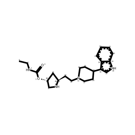 CCNC(=O)O[C@H]1CN[C@H](CCN2CCC(c3c[nH]c4ccccc34)CC2)C1